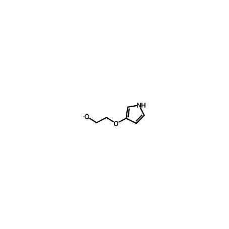 [O]CCOc1cc[nH]c1